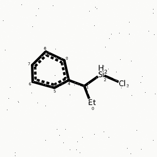 CCC([SiH2]Cl)c1ccccc1